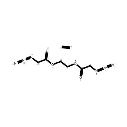 C=C.[N-]=[N+]=NCC(=O)OCCOC(=O)CN=[N+]=[N-]